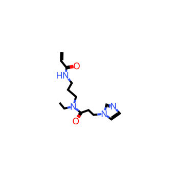 C=CC(=O)NCCCN(CC)C(=O)CCn1ccnc1